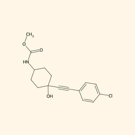 COC(=O)NC1CCC(O)(C#Cc2ccc(Cl)cc2)CC1